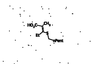 CCCCCCS/C(CC)=C(\C)C(=O)O